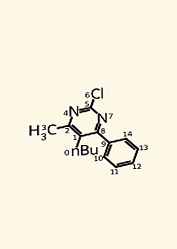 CCCCc1c(C)nc(Cl)nc1-c1ccccc1